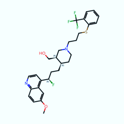 COc1ccc2nccc([C@H](F)CC[C@@H]3CCN(CCCSc4ccccc4C(F)(F)F)C[C@@H]3CO)c2c1